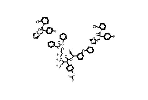 CC(C)C(C(=O)OC(C#N)c1cccc(Oc2ccccc2)c1)c1ccc(OC(F)F)cc1.CCOP(=O)(Sc1ccccc1)Sc1ccccc1.Fc1ccc([C@@]2(Cn3cncn3)O[C@@H]2c2ccccc2Cl)cc1.Fc1ccc([C@]2(Cn3cncn3)O[C@H]2c2ccccc2Cl)cc1